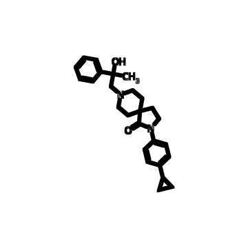 CC(O)(CN1CCC2(CC1)CCN(c1ccc(C3CC3)cc1)C2=O)c1ccccc1